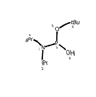 CC(C)N(C(C)C)P(O)OC(C)(C)C